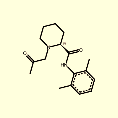 CC(=O)CN1CCCC[C@H]1C(=O)Nc1c(C)cccc1C